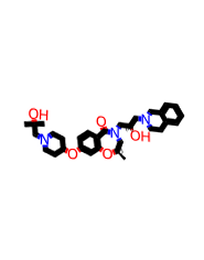 C[C@@H]1CN(C[C@H](O)CN2CCc3ccccc3C2)C(=O)c2ccc(OC3CCN(CC(C)(C)O)CC3)cc2O1